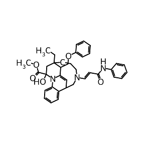 CCC12CCCN(/C=C/C(=O)Nc3ccccc3)CC3C=C(C1COc1ccccc1)N(c1ccccc13)C(O)(C(=O)OC)C2